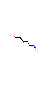 N[CH]CCCCCO